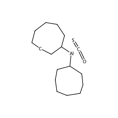 C1CCC[CH]([Al][CH]2CCCCCCC2)CCC1.O=C=S